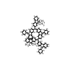 CC1(C)c2ccccc2-c2ccc(N(c3ccc4c(c3)c3ccccc3n4-c3ccccc3)c3ccc4c(c3)c3cc(N(c5ccc6c(c5)C(C)(C)c5ccccc5-6)c5ccc6c(c5)c5ccccc5n6-c5ccccc5)ccc3n4-c3ccccc3)cc21